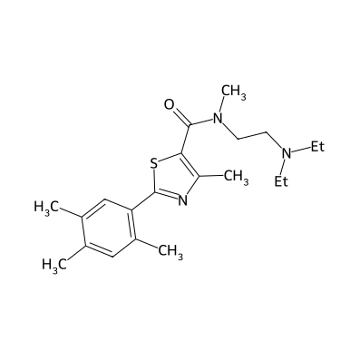 CCN(CC)CCN(C)C(=O)c1sc(-c2cc(C)c(C)cc2C)nc1C